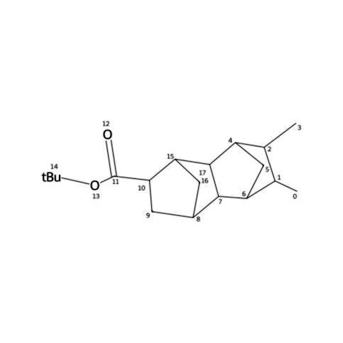 CC1C(C)C2CC1C1C3CC(C(=O)OC(C)(C)C)C(C3)C21